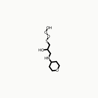 OOOSCC(O)CNC1CCOCC1